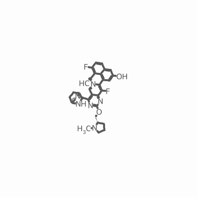 C#Cc1c(F)ccc2cc(O)cc(-c3ncc4c(N5CC6CCC5CN6)nc(OC[C@@H]5CCCN5C)nc4c3F)c12